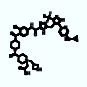 O=C(O)C[N+]1(CC2CNC2)CCC(C(=O)N2CCN(C(=O)c3ccc(NC(=O)c4ncc(Cc5c(C(F)(F)F)n[nH]c5-c5ccc(NC6CC6)cn5)[nH]4)cc3Cl)CC2)CC1